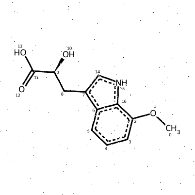 COc1cccc2c(C[C@H](O)C(=O)O)c[nH]c12